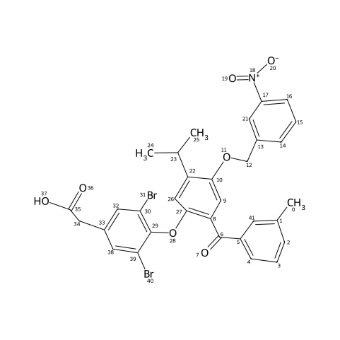 Cc1cccc(C(=O)c2cc(OCc3cccc([N+](=O)[O-])c3)c(C(C)C)cc2Oc2c(Br)cc(CC(=O)O)cc2Br)c1